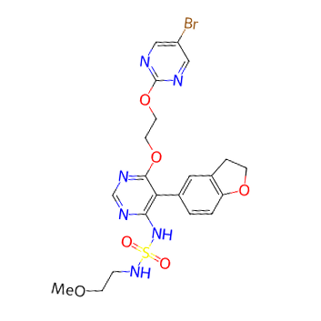 COCCNS(=O)(=O)Nc1ncnc(OCCOc2ncc(Br)cn2)c1-c1ccc2c(c1)CCO2